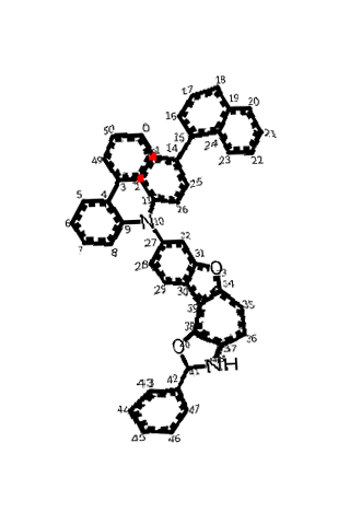 c1ccc(-c2ccccc2N(c2ccc(-c3cccc4ccccc34)cc2)c2ccc3c(c2)oc2ccc4c(c23)OC(c2ccccc2)N4)cc1